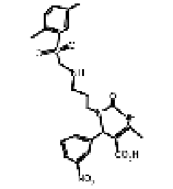 CC1=C(C(=O)O)C(c2cccc([N+](=O)[O-])c2)N(CCCNCS(=O)(=O)c2cc(C)ccc2C)C(=O)N1